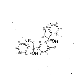 [CH2]c1ccc(C(O)(CCl)c2cccnc2)cc1C(O)(CCl)c1cccnc1